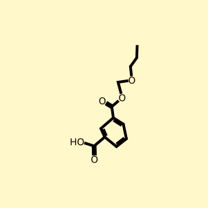 CCCOCOC(=O)c1cccc(C(=O)O)c1